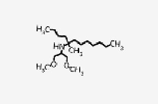 CCCCCCCC(C)(CCCC)NC(COC)COC